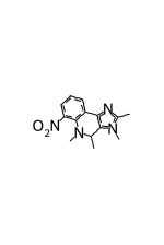 Cc1nc2c(n1C)C(C)N(C)c1c-2cccc1[N+](=O)[O-]